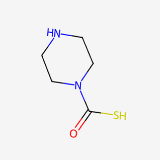 O=C(S)N1CCNCC1